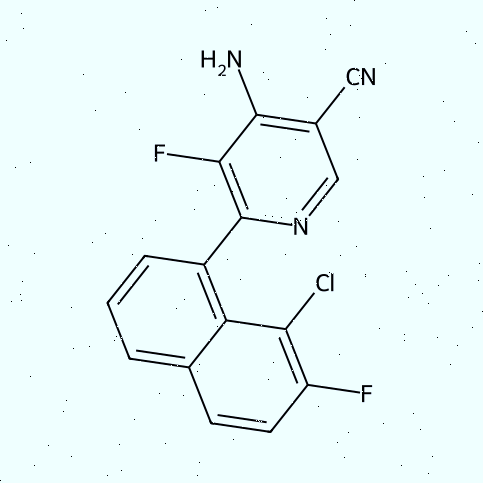 N#Cc1cnc(-c2cccc3ccc(F)c(Cl)c23)c(F)c1N